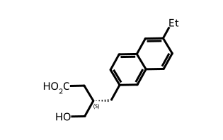 CCc1ccc2cc(C[C@H](CO)CC(=O)O)ccc2c1